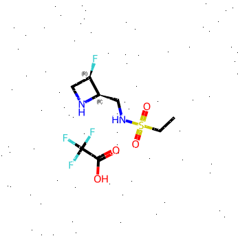 CCS(=O)(=O)NC[C@H]1NC[C@H]1F.O=C(O)C(F)(F)F